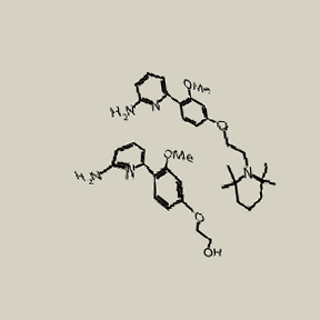 COc1cc(OCCN2C(C)(C)CCCC2(C)C)ccc1-c1cccc(N)n1.COc1cc(OCCO)ccc1-c1cccc(N)n1